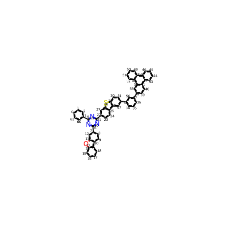 c1ccc(-c2nc(-c3ccc4c(c3)oc3ccccc34)nc(-c3ccc4c(c3)sc3ccc(-c5cccc(-c6ccc7c8ccccc8c8ccccc8c7c6)c5)cc34)n2)cc1